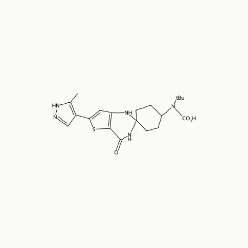 Cc1[nH]ncc1-c1cc2c(s1)C(=O)NC1(CCC(N(C(=O)O)C(C)(C)C)CC1)N2